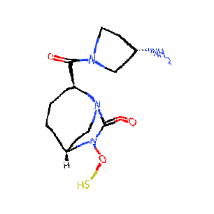 N[C@H]1CCN(C(=O)[C@@H]2CC[C@@H]3CN2C(=O)N3OS)C1